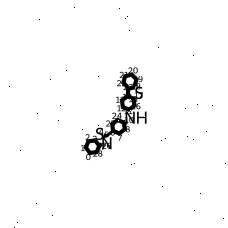 c1ccc2sc(-c3ccc(Nc4ccc5c(c4)sc4ccccc45)cc3)nc2c1